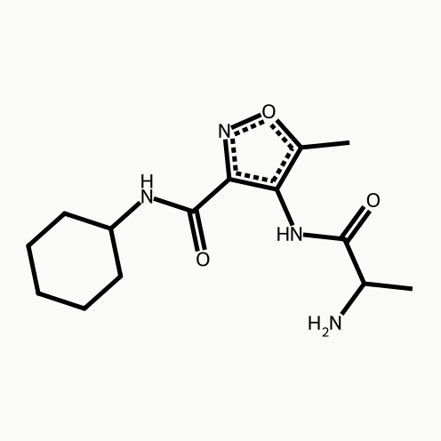 Cc1onc(C(=O)NC2CCCCC2)c1NC(=O)C(C)N